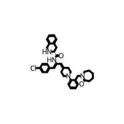 O=C(N/C(C=C1CCN(c2ccccc2CN2CCCCCC2=O)CC1)=C\c1ccc(Cl)cc1)[C@H]1Cc2ccccc2CN1